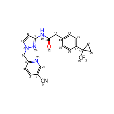 N#Cc1ccc(Cn2ccc(NC(=O)Cc3ccc(C4(C(F)(F)F)CC4)cc3)n2)nc1